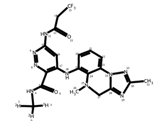 [2H]C([2H])([2H])NC(=O)c1nnc(NC(=O)CC(F)(F)F)cc1Nc1cccc2c1N(C)Cc1nc(C)nn1-2